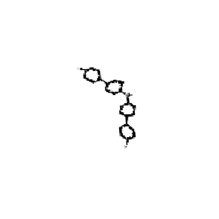 Fc1ccc(-c2ccc(Nc3ccc(-c4ccc(F)cc4)cc3)cc2)cc1